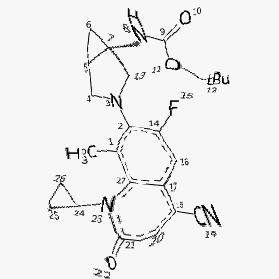 Cc1c(N2CC3CC3(NC(=O)OC(C)(C)C)C2)c(F)cc2c(C#N)cc(=O)n(C3CC3)c12